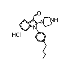 CCCCc1ccc(-n2c(N3CCNCC3)c(C=O)c3ccccc32)cc1.Cl